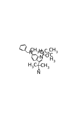 CN(Cc1ccccc1)c1ccc2c(C(C)(C)C#N)cn(C(=O)OC(C)(C)C)c2c1